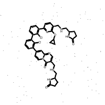 O=C1CCC(CNCc2ccc(-c3cccc(-c4cccc(-c5ccn6c(=O)c(CNCC7CCC(=O)N7)cnc6c5)c4Cl)c3Cl)nc2OC2CC2)N1